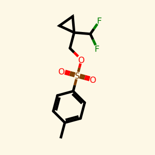 Cc1ccc(S(=O)(=O)OCC2(C(F)F)CC2)cc1